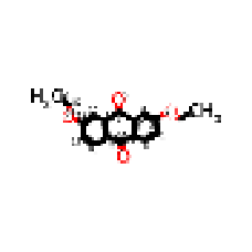 CCOc1ccc2c(c1)C(=O)c1cc(OCC)ccc1C2=O